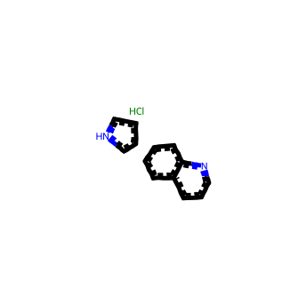 Cl.c1cc[nH]c1.c1ccc2ncccc2c1